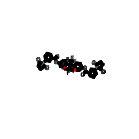 O=C(Oc1ccc(C(c2ccc(OC(=O)c3cccc(N4C(=O)C=CC4=O)c3)cc2)(C(F)(F)F)C(F)(F)F)cc1)c1cccc(N2C(=O)C=CC2=O)c1